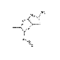 Cc1cc2nc(N)sc2cc1SC#N